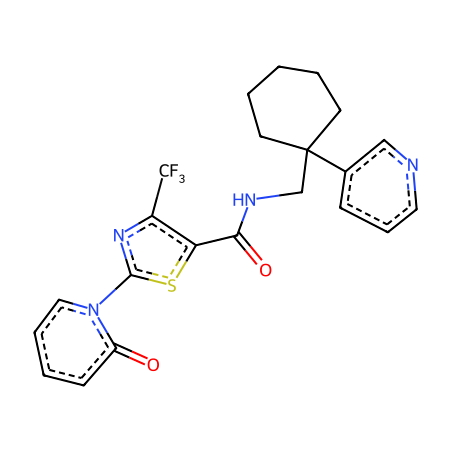 O=C(NCC1(c2cccnc2)CCCCC1)c1sc(-n2ccccc2=O)nc1C(F)(F)F